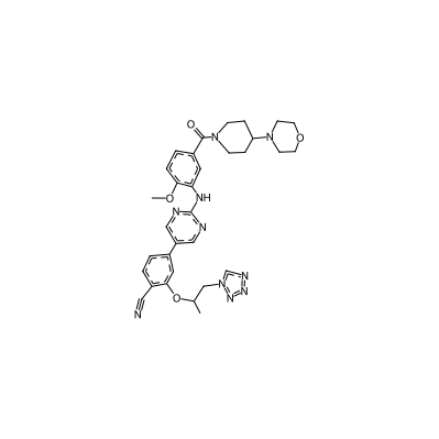 COc1ccc(C(=O)N2CCC(N3CCOCC3)CC2)cc1Nc1ncc(-c2ccc(C#N)c(OC(C)Cn3cnnn3)c2)cn1